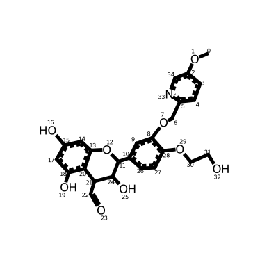 COc1ccc(COc2cc(C3Oc4cc(O)cc(O)c4C(C=O)C3O)ccc2OCCO)nc1